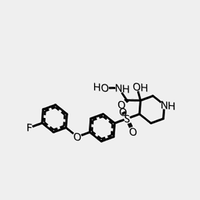 O=C(NO)C1(O)CNCCC1S(=O)(=O)c1ccc(Oc2cccc(F)c2)cc1